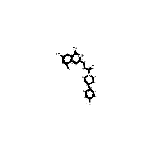 Cc1cc(F)cc2c(=O)[nH]c(CCC(=O)N3CC=C(c4ccc(F)cc4)CC3)cc12